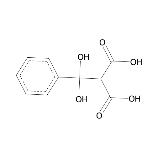 O=C(O)C(C(=O)O)C(O)(O)c1ccccc1